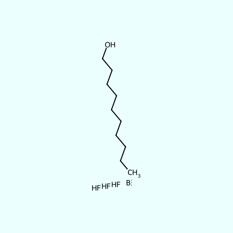 CCCCCCCCCCO.F.F.F.[B]